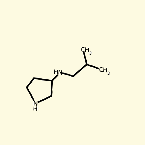 CC(C)CNC1CCNC1